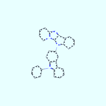 c1ccc(-n2c3ccccc3c3cc(-n4c5ccccc5c5nc6ccccn6c54)ccc32)cc1